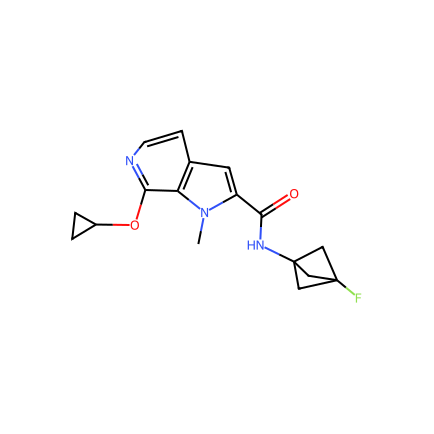 Cn1c(C(=O)NC23CC(F)(C2)C3)cc2ccnc(OC3CC3)c21